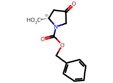 O=C1C[C@@H](C(=O)O)N(C(=O)OCc2ccccc2)C1